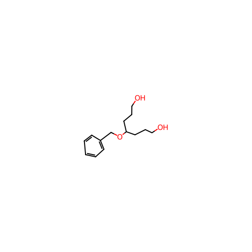 OCCCC(CCCO)OCc1ccccc1